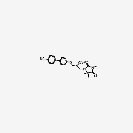 CN1C(=O)N(CC(O)COc2ccc(-c3ccc(C#N)cc3)cc2)C(C)(C)C1=O